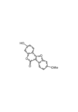 COc1ccc2c(c1)oc1c3ccc(O)cc3oc(=O)c21